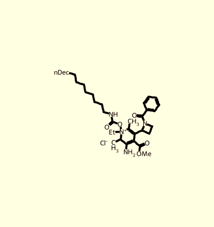 CCCCCCCCCCCCCCCCCCNC(=O)O[N+]1(CC)C(C)=C(C2CCN2C(=O)c2ccccc2)C(C(=O)OC)=C(N)C1C.[Cl-]